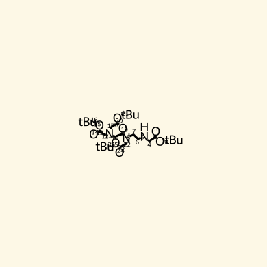 CC(C)(C)OC(=O)CNCCN(CCN(CC(=O)OC(C)(C)C)CC(=O)OC(C)(C)C)CC(=O)OC(C)(C)C